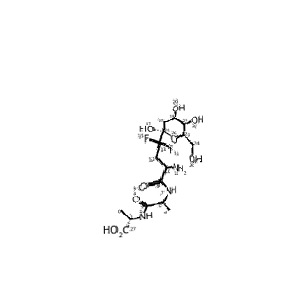 C[C@H](NC(=O)[C@H](C)NC(=O)C(N)CC(F)(F)[C@@]1(O)C[C@@H](O)[C@@H](O)[C@@H](CO)O1)C(=O)O